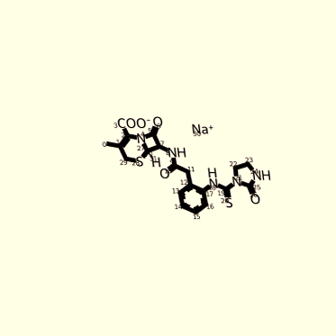 CC1=C(C(=O)[O-])N2C(=O)C(NC(=O)Cc3ccccc3NC(=S)N3CCNC3=O)[C@H]2SC1.[Na+]